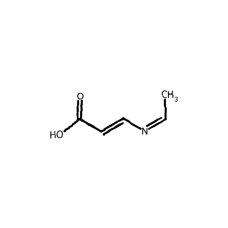 C/C=N\C=C\C(=O)O